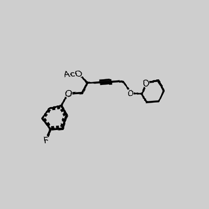 CC(=O)OC(C#CCOC1CCCCO1)COc1ccc(F)cc1